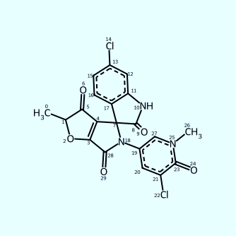 CC1OC2=C(C1=O)C1(C(=O)Nc3cc(Cl)ccc31)N(c1cc(Cl)c(=O)n(C)c1)C2=O